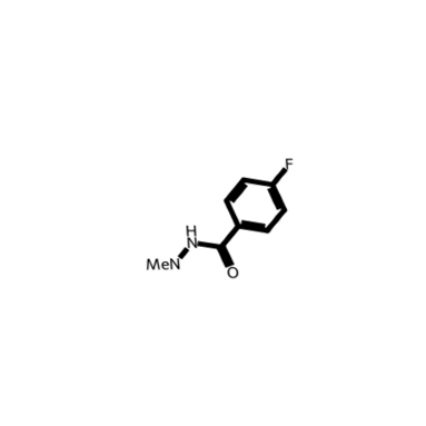 CNNC(=O)c1ccc(F)cc1